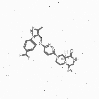 Cc1nnn(-c2ccc(C(F)F)cc2)c1COc1ccc(N2CCN3C(C(C)C)CNC(=O)[C@@H]3C2)nn1